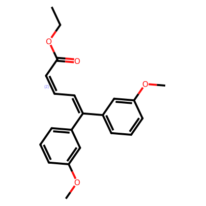 CCOC(=O)/C=C\C=C(c1cccc(OC)c1)c1cccc(OC)c1